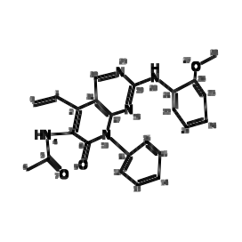 C=Cc1c(NC(C)=O)c(=O)n(-c2ccccc2)c2nc(Nc3ccccc3OC)ncc12